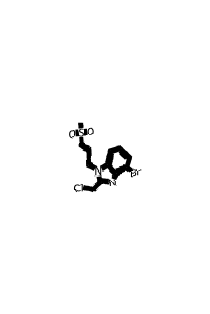 CS(=O)(=O)CCCn1c(CCl)nc2c(Br)cccc21